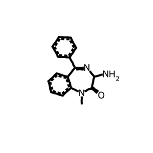 CN1C(=O)C(N)N=C(c2ccccc2)c2ccccc21